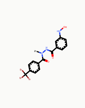 CC(C)N(NC(=O)c1cccc(NO)c1)C(=O)c1ccc(C(Br)(Br)Br)cc1